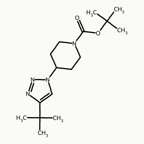 CC(C)(C)OC(=O)N1CCC(n2cc(C(C)(C)C)nn2)CC1